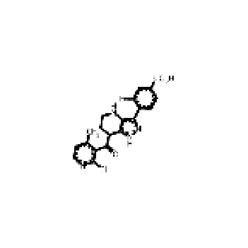 O=C(O)c1ccc(-c2n[nH]c3c2NCCC3C(=O)c2c(C(F)(F)F)ccnc2Cl)c(F)c1